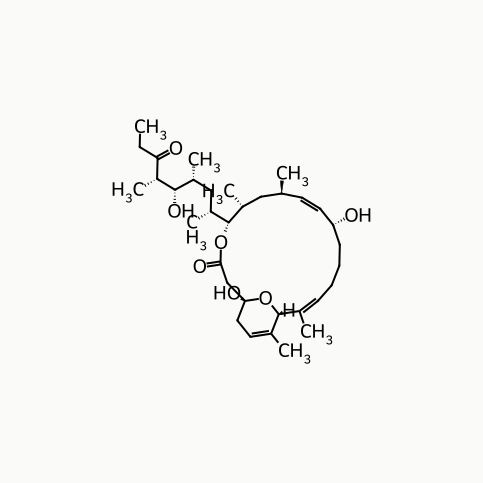 CCC(=O)[C@@H](C)[C@@H](O)[C@H](C)C[C@@H](C)[C@H]1OC(=O)C[C@@]2(O)CC=C(C)[C@H](O2)/C(C)=C\CCC[C@@H](O)/C=C\[C@H](C)C[C@H]1C